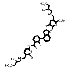 COc1nc(O[C@H]2CCc3c(-c4cccc(C(=O)Nc5ccc(CNC[C@@H](O)CC(=O)O)c(Br)n5)c4Cl)cccc32)c(Cl)cc1CNC[C@@H](O)CC(=O)O